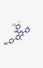 Cc1cc(-c2ccc(C#N)cc2)cc2c(Nc3ccc(F)c(Cl)c3)nc(-c3cccnc3)nc12